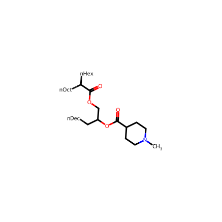 CCCCCCCCCCCC(COC(=O)C(CCCCCC)CCCCCCCC)OC(=O)C1CCN(C)CC1